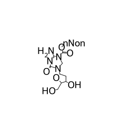 CCCCCCCCCOC(=O)N1CN(C2CC(O)C(CO)O2)C(=O)N=C1N